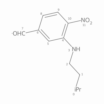 CC(C)CCNc1cc([C]=O)ccc1[N+](=O)[O-]